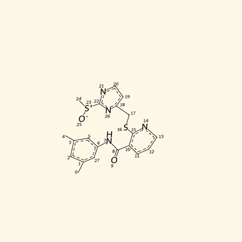 Cc1cc(C)cc(NC(=O)c2cccnc2SCc2ccnc([S+](C)[O-])n2)c1